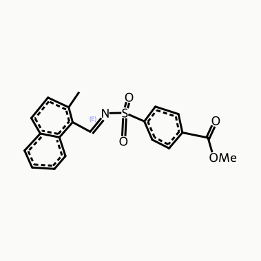 COC(=O)c1ccc(S(=O)(=O)/N=C/c2c(C)ccc3ccccc23)cc1